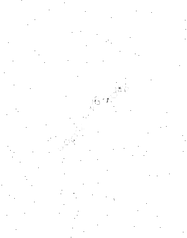 CCn1c2ccc(CNCCOCCOCCN3CCCn4nc(C(=O)Nc5nc6ccc(NS(=O)(=O)c7cccs7)cc6s5)cc4C3)cc2c2ccc(-c3cc(C)cs3)cc21